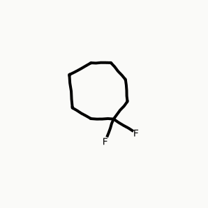 FC1(F)CCCCCCC1